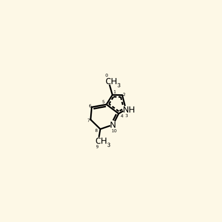 Cc1c[nH]c2c1=CCC(C)N=2